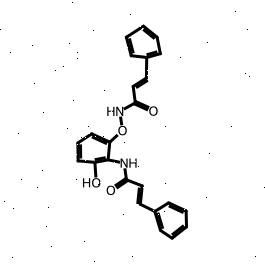 O=C(C=Cc1ccccc1)NOc1cccc(O)c1NC(=O)C=Cc1ccccc1